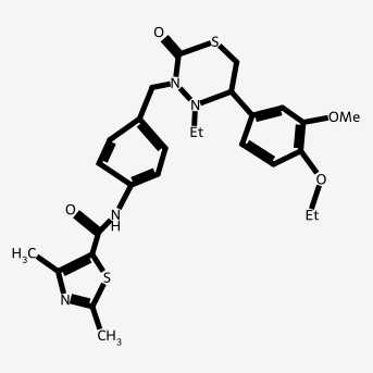 CCOc1ccc(C2CSC(=O)N(Cc3ccc(NC(=O)c4sc(C)nc4C)cc3)N2CC)cc1OC